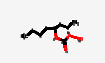 CCCCC(CCC)OC(=O)OO